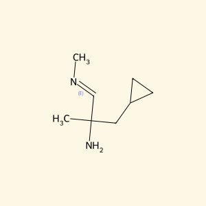 C/N=C/C(C)(N)CC1CC1